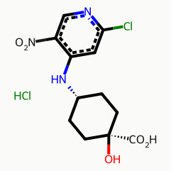 Cl.O=C(O)[C@]1(O)CC[C@H](Nc2cc(Cl)ncc2[N+](=O)[O-])CC1